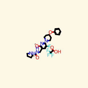 COc1nc(N2CCC(Oc3ccccc3)CC2)c(F)cc1CNC(=O)[C@@H]1CCCN1.O=C(O)C(F)(F)F